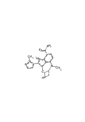 CN(c1ccc(C(N)=O)c2[nH]c(-c3ccnn3C)c(Cl)c12)C1CNC1